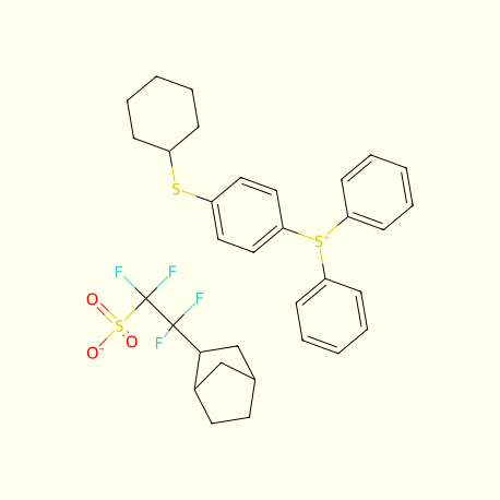 O=S(=O)([O-])C(F)(F)C(F)(F)C1CC2CCC1C2.c1ccc([S+](c2ccccc2)c2ccc(SC3CCCCC3)cc2)cc1